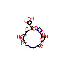 CO[C@H]1C[C@@H]2CC[C@@H](C)[C@@](O)(O2)C(=O)C(=O)N2CCCC[C@H]2C(=O)O[C@H]([C@H](C)C[C@@H]2CC[C@@H](O)[C@H](OC)C2)CC(=O)[C@H](C)/C=C(\C)[C@@H](O)[C@@H](OC)/C(=N/I)[C@H](C)C[C@H](C)/C=C/C=C/C=C/1C